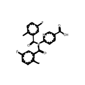 Cc1ccc(F)cc1C(=O)N(C(=O)c1cc(F)ccc1C)c1ccc(C(=O)O)cn1